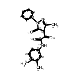 CC1=NN(c2ccccc2)C(=O)C1C(=O)C(=O)Nc1ccc(C)c(C)c1